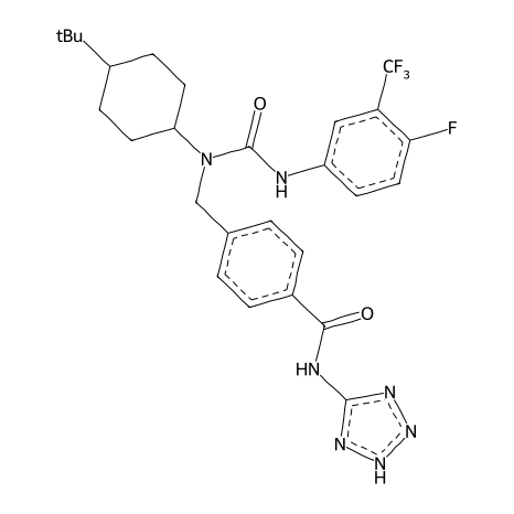 CC(C)(C)C1CCC(N(Cc2ccc(C(=O)Nc3nn[nH]n3)cc2)C(=O)Nc2ccc(F)c(C(F)(F)F)c2)CC1